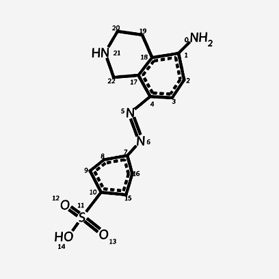 Nc1ccc(N=Nc2ccc(S(=O)(=O)O)cc2)c2c1CCNC2